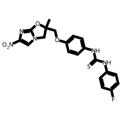 CC1(COc2ccc(NC(=S)Nc3ccc(F)cc3)cc2)Cn2cc([N+](=O)[O-])nc2O1